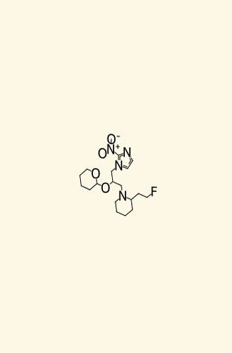 O=[N+]([O-])c1nccn1CC(CN1CCCCC1CCF)OC1CCCCO1